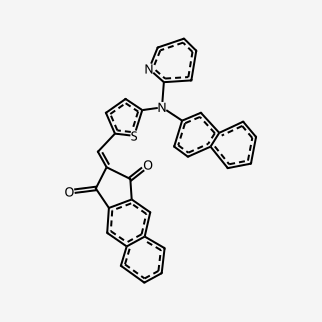 O=C1C(=Cc2ccc(N(c3ccc4ccccc4c3)c3ccccn3)s2)C(=O)c2cc3ccccc3cc21